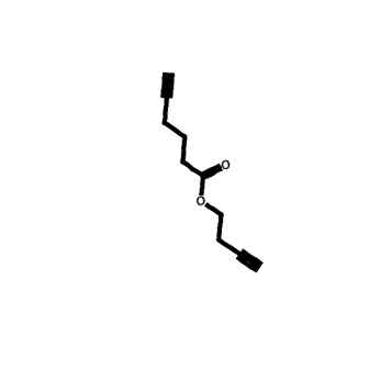 C#CCCCC(=O)OCCC#C